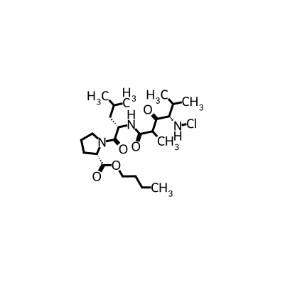 CCCCOC(=O)[C@@H]1CCCN1C(=O)[C@H](CC(C)C)NC(=O)C(C)C(=O)[C@@H](NCl)C(C)C